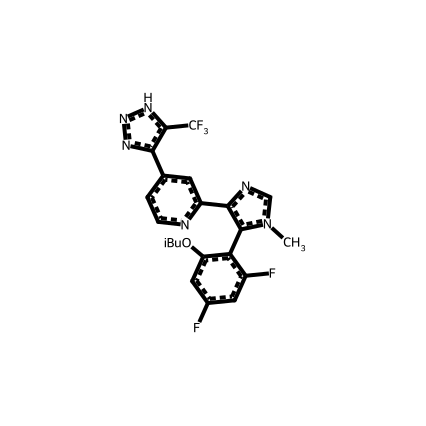 CC(C)COc1cc(F)cc(F)c1-c1c(-c2cc(-c3nn[nH]c3C(F)(F)F)ccn2)ncn1C